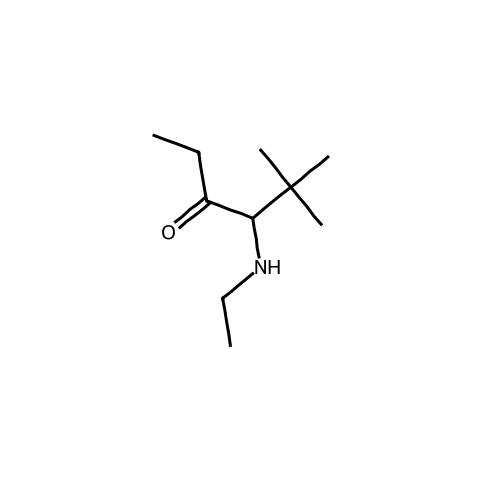 CCNC(C(=O)CC)C(C)(C)C